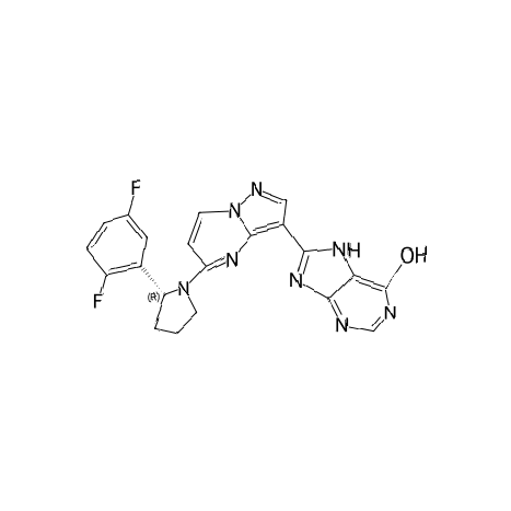 Oc1ncnc2nc(-c3cnn4ccc(N5CCC[C@@H]5c5cc(F)ccc5F)nc34)[nH]c12